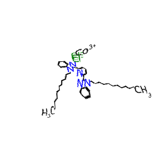 CCCCCCCCCCCCn1c(-c2cccc(-c3nc4ccccc4n3CCCCCCCCCCCC)n2)nc2ccccc21.[Cl-].[Cl-].[Cl-].[Co+3]